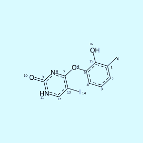 Cc1cccc(Oc2nc(=O)[nH]cc2I)c1O